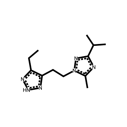 CCc1n[nH]nc1CCn1nc(C(C)C)nc1C